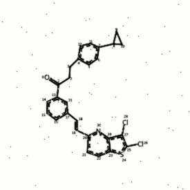 O=C(CCc1ccc(C2CC2)cc1)c1cccc(C=Cc2ccc3sc(Cl)c(Cl)c3n2)c1